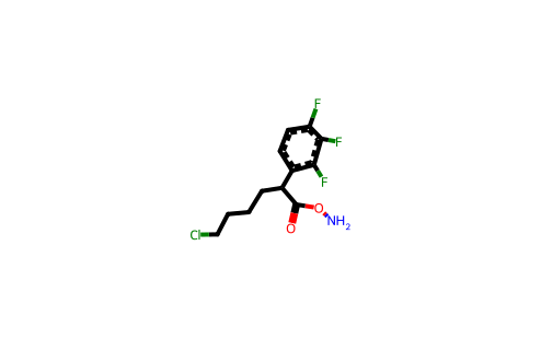 NOC(=O)C(CCCCCl)c1ccc(F)c(F)c1F